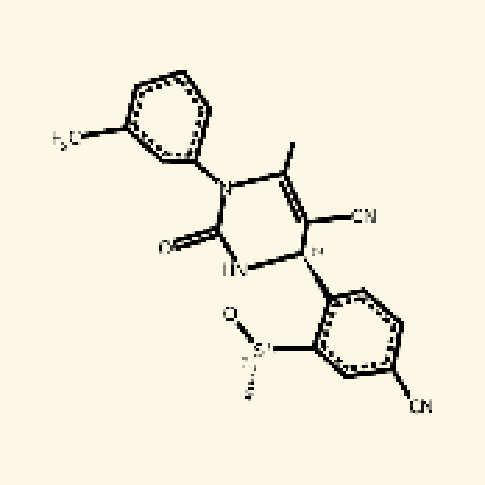 CC1=C(C#N)[C@@H](c2ccc(C#N)cc2[S@+](C)[O-])NC(=O)N1c1cccc(C(F)(F)F)c1